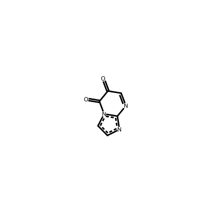 O=C1C=Nc2nccn2C1=O